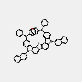 c1ccc(N(c2ccccc2)c2ccc3c(c2)c2c4sc5c(ccc6c5c5cc(N(c7ccccc7)c7ccccc7)ccc5n6-c5ccc6ccccc6c5)c4ccc2n3-c2ccc3ccccc3c2)cc1